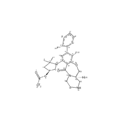 CC1(C)C[C@H](OC(=O)C(F)(F)F)CN1c1nc(-c2ccccc2F)c(F)c2c1C(=O)N1CCNC[C@@H]1CO2